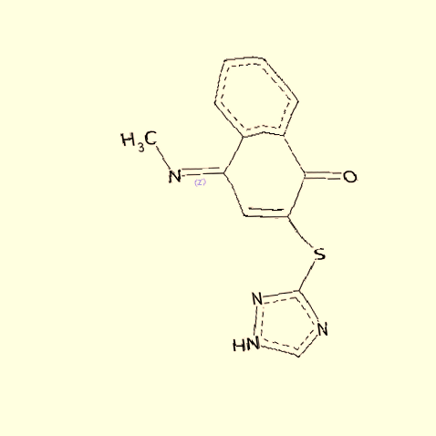 C/N=C1/C=C(Sc2nc[nH]n2)C(=O)c2ccccc21